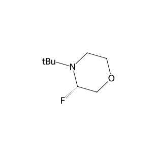 CC(C)(C)N1CCOC[C@@H]1F